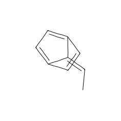 CC=C1C2=CC=C1C=C2